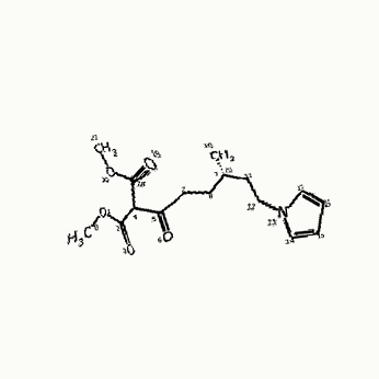 COC(=O)C(C(=O)CC[C@H](C)CCn1cccc1)C(=O)OC